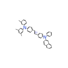 Cc1cccc(N(c2ccc(/C=C/c3ccc(N(c4ccccc4)c4ccc5ccccc5c4)cc3)cc2)c2cc(C)cc(C)c2)c1